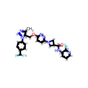 Cc1nnn(-c2ccc(C(F)F)cc2)c1COc1ccc(N2CC(C(=O)Nc3cccnc3F)C2)nn1